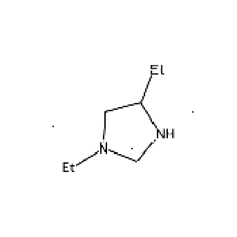 CCC1CN(CC)CN1